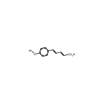 CC(C)Oc1ccc(C=CC=CC(=O)O)cc1